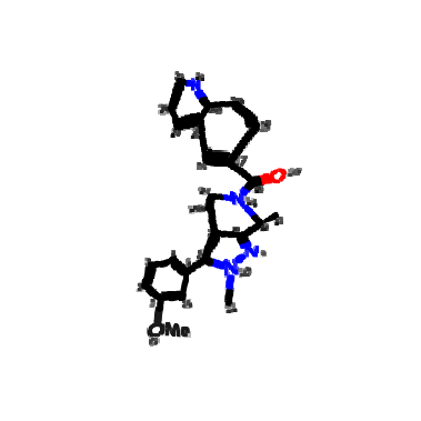 COc1cccc(-c2c3c(nn2C)[C@H](C)N(C(=O)c2ccc4ncccc4c2)CC3)c1